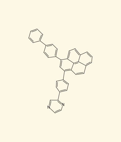 c1ccc(-c2ccc(-c3cc(-c4ccc(-c5cnccn5)cc4)c4ccc5cccc6ccc3c4c65)cc2)cc1